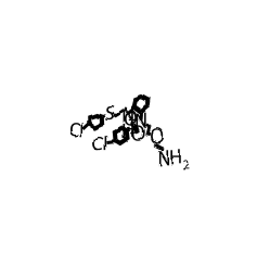 NCCOCCN(c1ccccc1NCCSc1ccc(Cl)cc1)S(=O)(=O)c1ccc(Cl)cc1